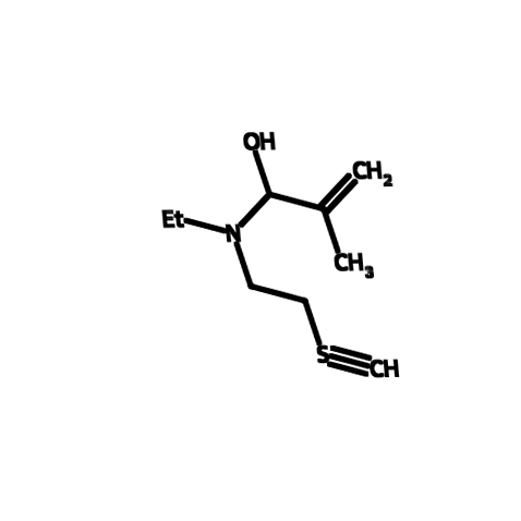 C#SCCN(CC)C(O)C(=C)C